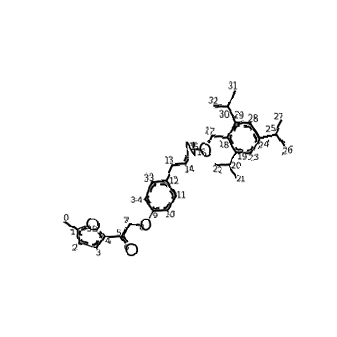 Cc1ccc(C(=O)COc2ccc(CC=NOCc3c(C(C)C)cc(C(C)C)cc3C(C)C)cc2)o1